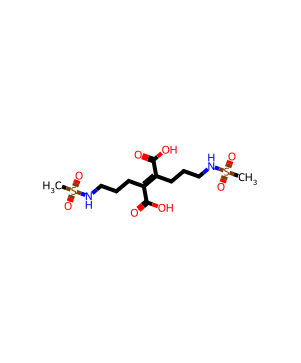 CS(=O)(=O)NCCCC(C(=O)O)=C(CCCNS(C)(=O)=O)C(=O)O